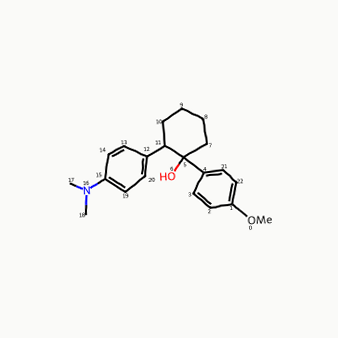 COc1ccc(C2(O)CCCCC2c2ccc(N(C)C)cc2)cc1